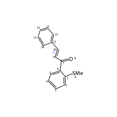 CSc1ccccc1C(=O)/C=C/c1ccccc1